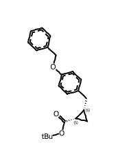 CC(C)(C)OC(=O)[C@H]1C[C@H]1Cc1ccc(OCc2ccccc2)cc1